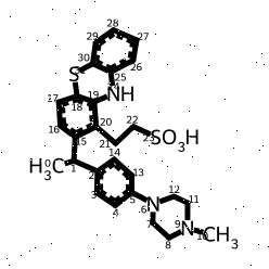 CC(c1ccc(N2CCN(C)CC2)cc1)c1ccc2c(c1CCS(=O)(=O)O)Nc1ccccc1S2